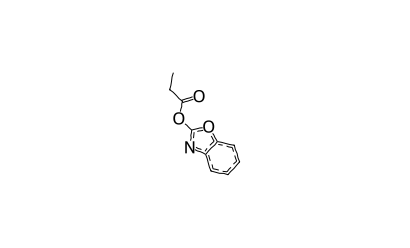 CCC(=O)Oc1nc2ccccc2o1